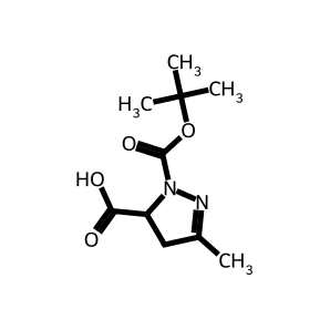 CC1=NN(C(=O)OC(C)(C)C)C(C(=O)O)C1